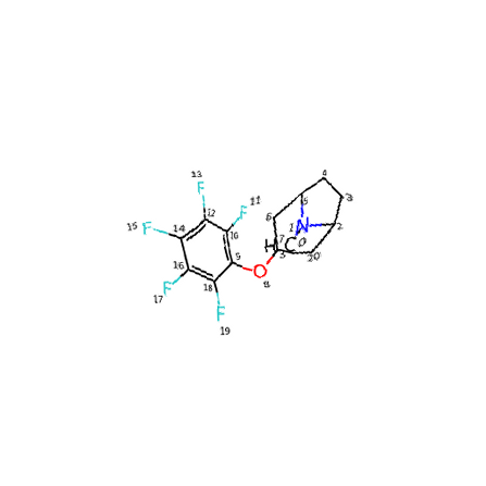 CN1C2CCC1CC(Oc1c(F)c(F)c(F)c(F)c1F)C2